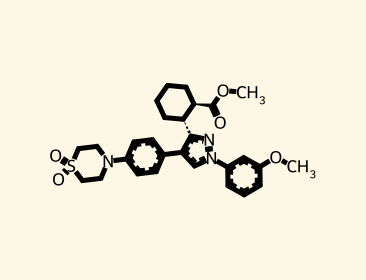 COC(=O)[C@@H]1CCCC[C@H]1c1nn(-c2cccc(OC)c2)cc1-c1ccc(N2CCS(=O)(=O)CC2)cc1